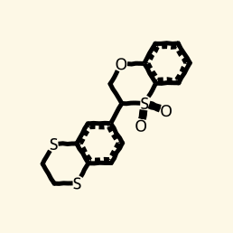 O=S1(=O)c2ccccc2OCC1c1ccc2c(c1)SCCS2